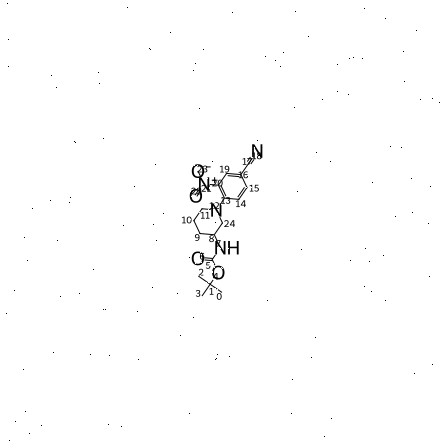 CC(C)(C)OC(=O)NC1CCCN(c2ccc(C#N)cc2[N+](=O)[O-])C1